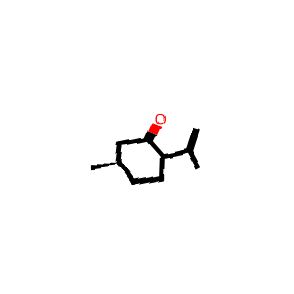 C=C(C)C1CC[C@@H](C)CC1=O